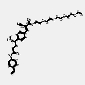 C=Cc1ccc(OC(=O)CCC(NC)c2ccc(/C=C(\C#N)C(=O)OCCOCCOCCOCCOCC)cc2)cc1